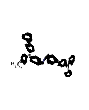 Cc1ccc(N(c2ccc(/C=C/c3ccc(-c4ccc(N(c5ccccc5)c5ccccc5)cc4)cc3)cc2)c2ccc(-c3ccccc3)cc2)cc1